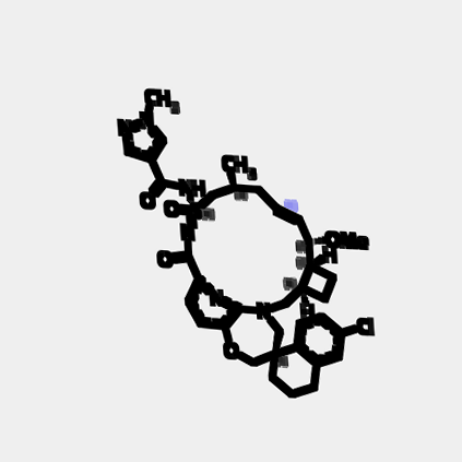 CO[C@H]1/C=C/C[C@H](C)C[S@@](=O)(NC(=O)c2cnn(C)c2)=NC(=O)c2ccc3c(n2)N(C[C@@H]2CC[C@H]21)C[C@@]1(CCCc2cc(Cl)ccc21)CO3